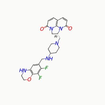 O=c1ccc2ccc(=O)n3c2n1C[C@H]3CN1CCC(NCc2cc3c(c(F)c2F)OCCN3)CC1